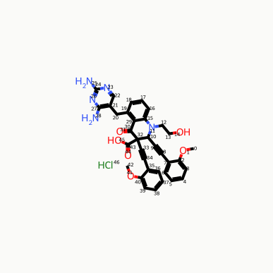 COc1ccccc1C#CC1N(CCO)c2cccc(Cc3cnc(N)nc3N)c2C(=O)C1(C#Cc1ccccc1OC)C(=O)O.Cl